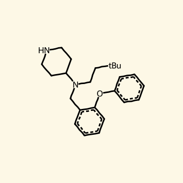 CC(C)(C)CCN(Cc1ccccc1Oc1ccccc1)C1CCNCC1